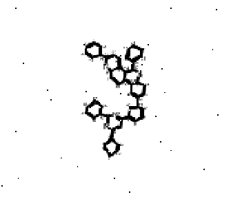 c1ccc(-c2cc(-c3cccc(-c4ccc5nc(-c6ccccc6)c6c7ccc(-c8ccccc8)nc7ccc6c5c4)c3)nc(-c3ccccc3)n2)cc1